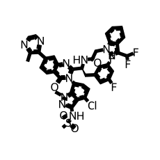 Cc1nccnc1-c1ccc2c(=O)n(-c3ccc(Cl)c4c(NS(C)(=O)=O)nn(C)c34)c([C@H](Cc3cc(F)cc(F)c3)NC(=O)Cn3nc(C(F)F)c4ccccc43)nc2c1